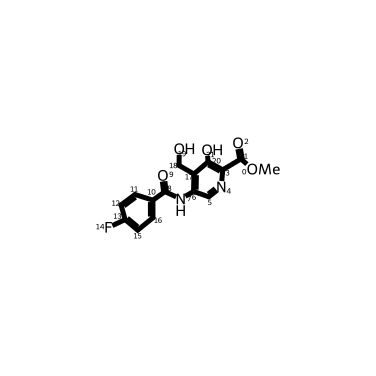 COC(=O)c1ncc(NC(=O)c2ccc(F)cc2)c(CO)c1O